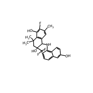 Cc1cc2c(c(O)c1F)C(C)(C)CC(O)(C(F)(F)F)C2Nc1cccc2cc(O)ccc12